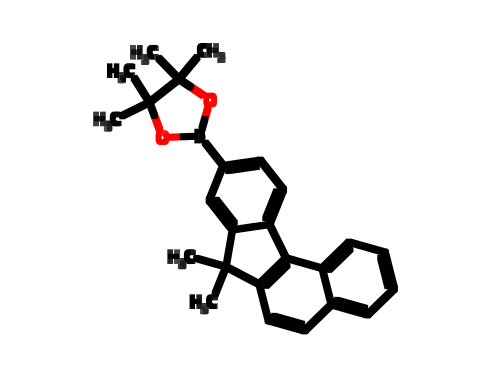 CC1(C)c2cc(B3OC(C)(C)C(C)(C)O3)ccc2-c2c1ccc1ccccc21